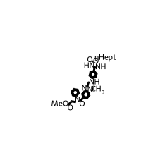 CCCCCCCOC(=O)NC(=N)c1ccc(NCc2nc3cc(C(=O)N(CCC(=O)OC)c4ccccc4)ccc3n2C)cc1